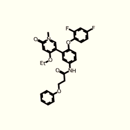 CCOc1cc(=O)n(C)cc1-c1cc(NC(=O)CCOc2ccccc2)ccc1Oc1ccc(F)cc1F